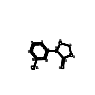 O=C1OCON1c1cccc(Cl)c1